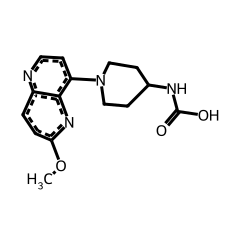 COc1ccc2nccc(N3CCC(NC(=O)O)CC3)c2n1